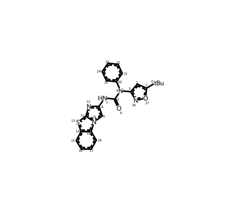 CC(C)(C)c1cc(N(C(=O)Nc2cn3c(n2)sc2ccccc23)c2ccccc2)no1